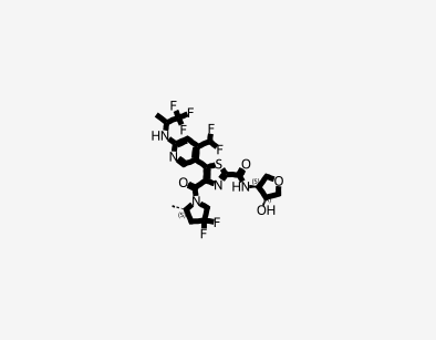 CC(Nc1cc(C(F)F)c(-c2sc(C(=O)N[C@H]3COC[C@@H]3O)nc2C(=O)N2CC(F)(F)C[C@@H]2C)cn1)C(F)(F)F